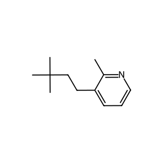 Cc1ncccc1CCC(C)(C)C